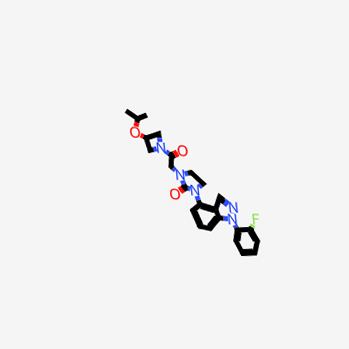 CC(C)OC1CN(C(=O)CN2CCN(c3cccc4c3cnn4-c3ccccc3F)C2=O)C1